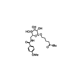 COc1ccc(C(=O)NCC2O[C@@H](OCCCCC(=O)C(C)(C)C)C(O)[C@@H](O)[C@@H]2O)cc1